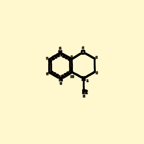 CCN1CCOc2nccnc21